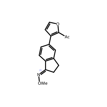 CO/N=C1\CCc2cc(-c3ccoc3C(C)=O)ccc21